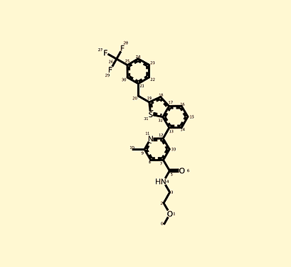 COCCNC(=O)c1cc(C)nc(-c2cccc3cc(Cc4cccc(C(F)(F)F)c4)sc23)c1